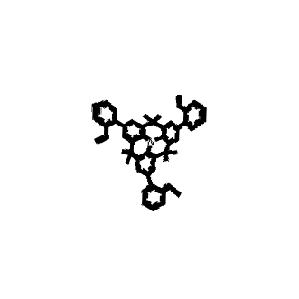 C=Cc1ccccc1-c1cc2c3c(c1)C(C)(C)c1cc(-c4ccccc4C=C)cc4c1N3c1c(cc(-c3ccccc3C=C)cc1C4(C)C)C2(C)C